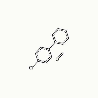 C=O.Clc1ccc(-c2ccccc2)cc1